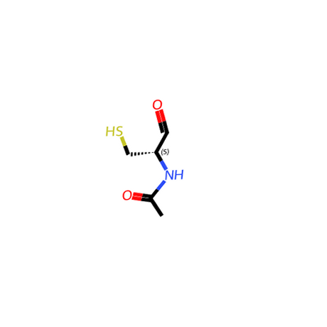 CC(=O)N[C@@H](C=O)CS